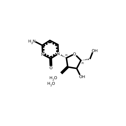 C=C1C(O)[C@@H](CO)O[C@H]1n1ccc(N)nc1=O.O.O